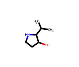 CC(C)C1NCCC1O